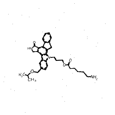 CC(C)OCc1ccc2c(c1)c1c3c(c4c(c1n2CCCOC(=O)CCCCCN)Cc1ccccc1-4)C(=O)NC3